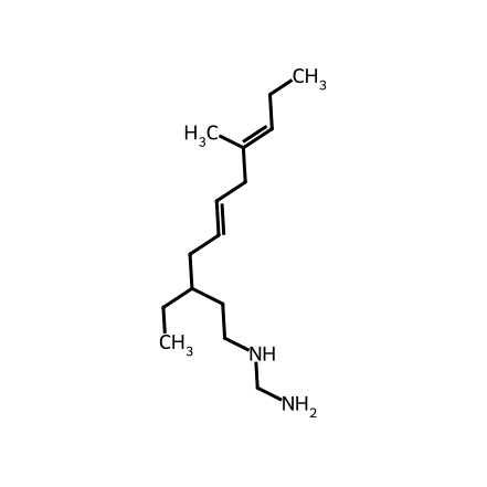 CC/C=C(\C)C/C=C/CC(CC)CCNCN